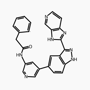 O=C(Cc1[c]cccc1)Nc1cncc(-c2ccc3[nH]nc(-c4nc5ccncc5[nH]4)c3c2)c1